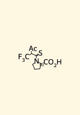 CC(=O)C(C(=S)N1CCC[C@H]1C(=O)O)C(F)(F)F